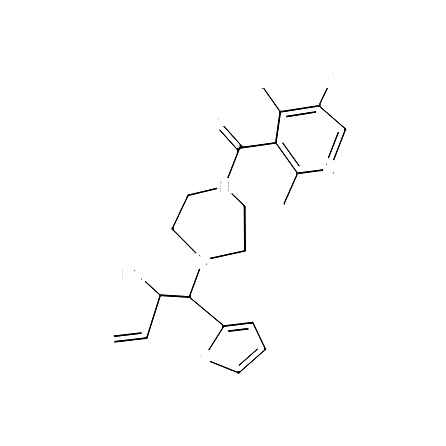 NC(C=O)C(c1cccs1)N1CCN(C(=O)c2c(Cl)ncc(F)c2Cl)CC1